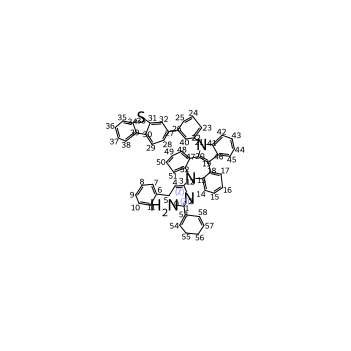 N/C(=N\C(=C/Cc1ccccc1)N1c2ccccc2-c2c(n(-c3cccc(-c4ccc5c(c4)sc4ccccc45)c3)c3ccccc23)-c2ccccc21)C1=CCCC=C1